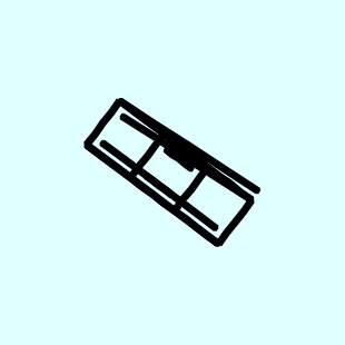 c12c3c4c1c1c2c3c41